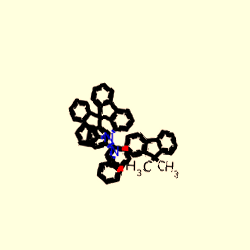 CC1(C)c2ccccc2-c2ccc(N(c3ccccc3)c3ccc4c(c3)C3(c5ccccc5-4)c4ccccc4-c4cccc(N(c5ccccc5)c5ccccc5)c43)cc21